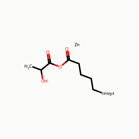 CCCCCCCCCCCC(=O)OC(=O)C(C)O.[Zn]